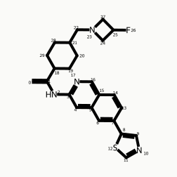 C=C(Nc1cc2cc(-c3cncs3)ccc2cn1)C1CCC(CN2CC(F)C2)CC1